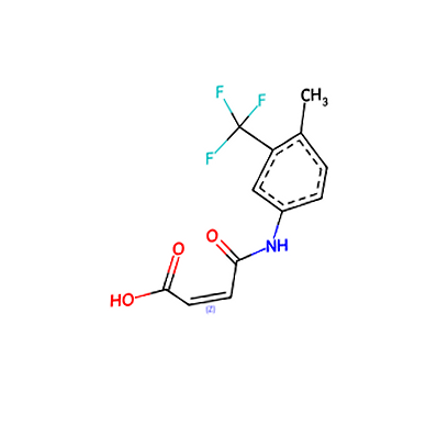 Cc1ccc(NC(=O)/C=C\C(=O)O)cc1C(F)(F)F